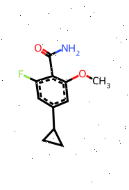 COc1cc(C2CC2)cc(F)c1C(N)=O